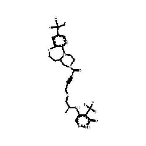 C[C@@H](COCC#CC(=O)N1CCN2c3ncc(C(F)(F)F)cc3OCCC2C1)Nc1cn[nH]c(=O)c1C(F)(F)F